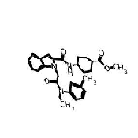 CCN(C(=O)Cn1c(C(=O)N[C@H]2CC[C@H](C(=O)OC)CC2)cc2ccccc21)c1cccc(C)c1